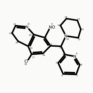 O=Nc1c(C(c2ccccn2)N2CCCCC2)cc(Cl)c2c1N=CCC2